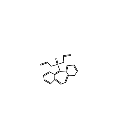 C=CCP(=O)(CC=C)C1=c2ccccc2=CC=C2CC=CC=C21